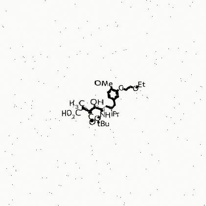 CCOCCOc1cc(C[C@@H](C[C@H](NOC(C)(C)C)[C@@H](O)C(=C=O)[C@@H](C)C(=O)O)C(C)C)ccc1OC